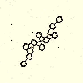 C1=C2Cn3c4c(cccc4c4ccc5c(c43)-c3ccccc3C53c4ccccc4-c4c3ccc3c5cccc6c5n(c43)Cc3ccc(-c4ccccc4)cc3-6)C2=CC(c2ccccc2)C1